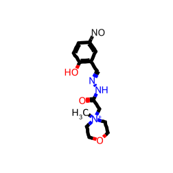 C[N+]1(CC(=O)N/N=C/c2cc(N=O)ccc2O)CCOCC1